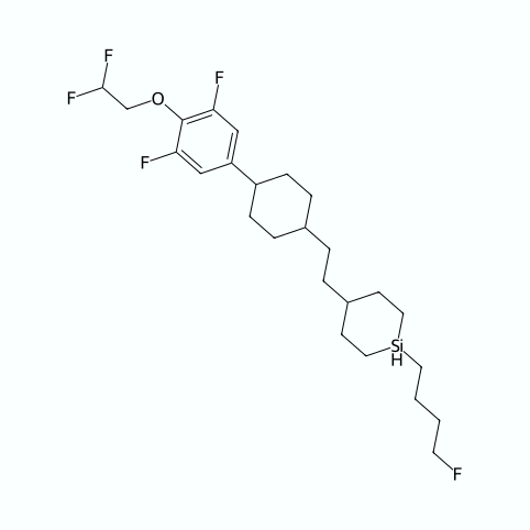 FCCCC[SiH]1CCC(CCC2CCC(c3cc(F)c(OCC(F)F)c(F)c3)CC2)CC1